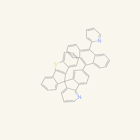 c1ccc(-c2c3ccccc3c(-c3ccc4c(c3)C3(c5ccccc5-c5sc6ccccc6c53)c3cccnc3-4)c3ccccc23)nc1